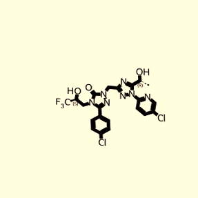 C[C@@H](O)c1nc(Cn2nc(-c3ccc(Cl)cc3)n(C[C@H](O)C(F)(F)F)c2=O)nn1-c1ccc(Cl)cn1